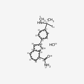 CN[C@@](C)(I)c1ccc(-n2cc3cccc(C(N)=O)c3n2)cc1.Cl